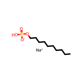 CCCCCCCCCCOP(=O)([O-])O.[Na+]